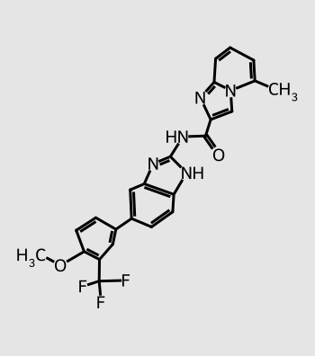 COc1ccc(-c2ccc3[nH]c(NC(=O)c4cn5c(C)cccc5n4)nc3c2)cc1C(F)(F)F